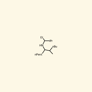 CCCCCC(NC(CC)C(C)C)C(C)CCCC